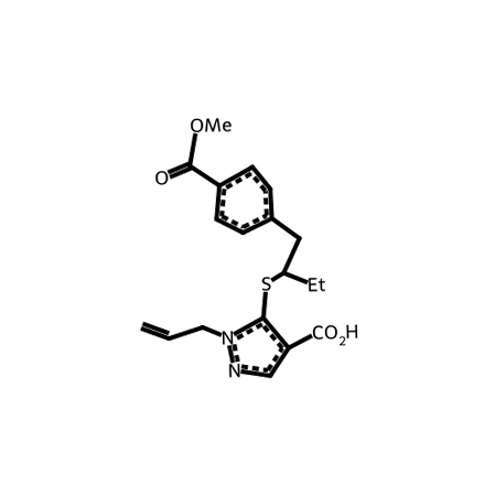 C=CCn1ncc(C(=O)O)c1SC(CC)Cc1ccc(C(=O)OC)cc1